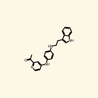 CC(=O)c1cc(Nc2ccc(NCCc3c[nH]c4ccccc34)cc2)ccn1